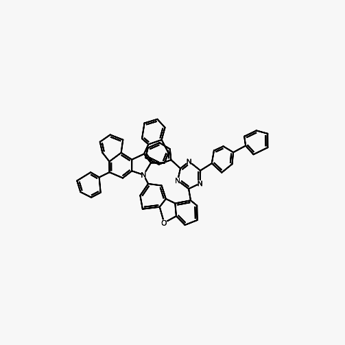 c1ccc(-c2ccc(-c3nc(-c4ccccc4)nc(-c4cccc5oc6ccc(-n7c8ccc9ccccc9c8c8c9ccccc9c(-c9ccccc9)cc87)cc6c45)n3)cc2)cc1